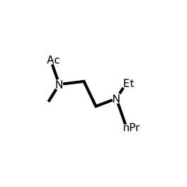 CCCN(CC)CCN(C)C(C)=O